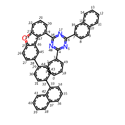 c1ccc(-c2nc(-c3ccc4ccccc4c3)nc(-c3cccc4oc5ccc(-c6ccc(-c7cccc8ccccc78)cc6)cc5c34)n2)cc1